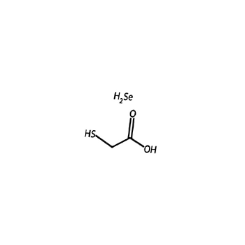 O=C(O)CS.[SeH2]